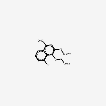 CCCCCOc1cc(C=O)c2cccc(CC)c2c1OCOC